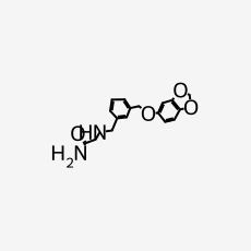 NC(=O)CNCc1cccc(COc2ccc3c(c2)OCO3)c1